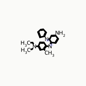 CCN(CC)c1ccc(/N=C2/C=CC(N)=C/C2=N\c2ccccc2)c(C)c1